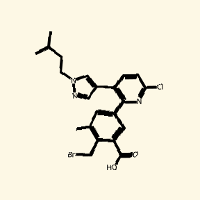 Cc1cc(-c2nc(Cl)ccc2-c2cnn(CCC(C)C)c2)cc(C(=O)O)c1CBr